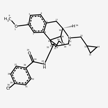 COc1ccc2c(c1)C13CCN(CC4CC4)[C@H](C2)C1OCCC(NC(=O)c1ccc(Cl)cc1)C3